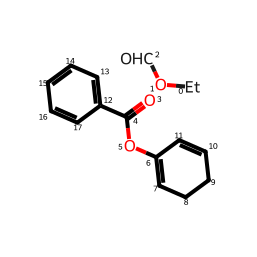 CCOC=O.O=C(OC1=CCCC=C1)c1ccccc1